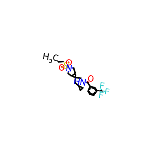 CCCS(=O)(=O)N1CC2C(C1)C2(CNC(=O)c1cccc(C(F)(F)F)c1)CC1CC1